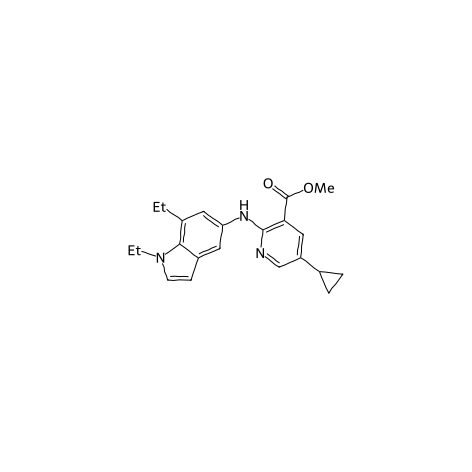 CCc1cc(Nc2ncc(C3CC3)cc2C(=O)OC)cc2ccn(CC)c12